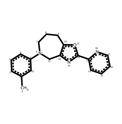 Cc1cccc(N2CCCc3oc(-c4ccccn4)nc3C2)c1